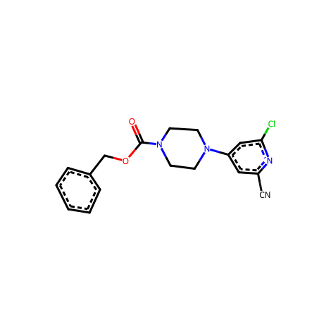 N#Cc1cc(N2CCN(C(=O)OCc3ccccc3)CC2)cc(Cl)n1